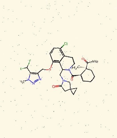 CNC(=O)[C@@]1(C)CCCC[C@H]1C(=O)N1CCc2c(Cl)ccc(OCc3nnn(C)c3C(F)F)c2C1CN1CC2(CC2)CC1=O